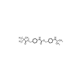 CC(C)Nc1ccc(COC(=O)Nc2ccc(COC(=O)C(C)(C)C)cc2)cc1